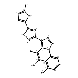 Cc1ccc(-c2nc(-c3ncn4c3c(C)[n+]([O-])c3c(Cl)cccc34)no2)o1